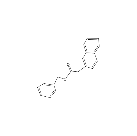 O=C(Cc1ccc2ccccc2c1)OCc1ccccc1